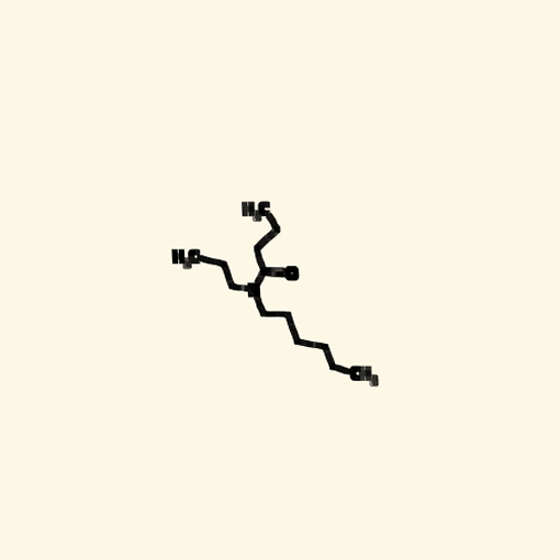 CCCCCCN(CCC)C(=O)CCC